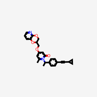 Cc1cc(OCC2COc3ncccc3O2)cc(=O)n1C(C)c1ccc(C#CC2CC2)cc1